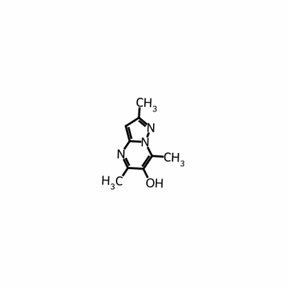 Cc1cc2nc(C)c(O)c(C)n2n1